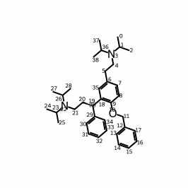 CC(C)N(CCc1ccc(OCc2ccccc2)c([C@H](CCN(C(C)C)C(C)C)c2ccccc2)c1)C(C)C